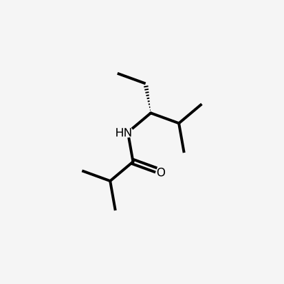 CC[C@@H](NC(=O)C(C)C)C(C)C